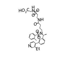 CCc1cnccc1-c1cccc([C@H](C)N(CCCC(=O)NCCS(=O)(=O)NCC(=O)O)S(=O)(=O)c2ccccc2C)c1